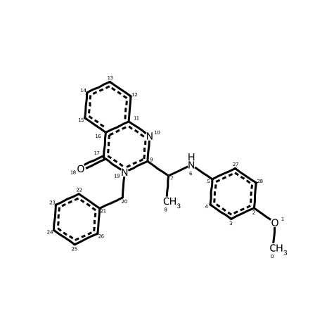 COc1ccc(NC(C)c2nc3ccccc3c(=O)n2Cc2ccccc2)cc1